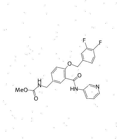 COC(=O)NCc1ccc(OCc2ccc(F)c(F)c2)c(C(=O)Nc2cccnc2)c1